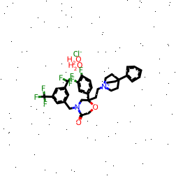 O.O.O=C1COC(CC[N+]23CCC(c4ccccc4)(CC2)CC3)(c2ccc(F)c(F)c2)CN1Cc1cc(C(F)(F)F)cc(C(F)(F)F)c1.[Cl-]